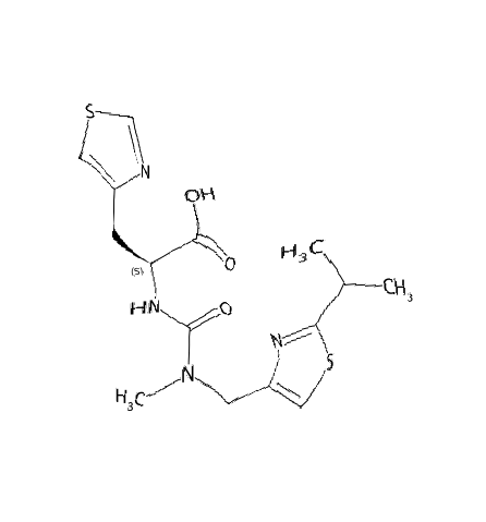 CC(C)c1nc(CN(C)C(=O)N[C@@H](Cc2cscn2)C(=O)O)cs1